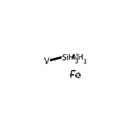 [AlH3].[Fe].[SiH3][V]